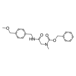 COCc1ccc(CNC(=O)CN(C)C(=O)OCc2ccccc2)cc1